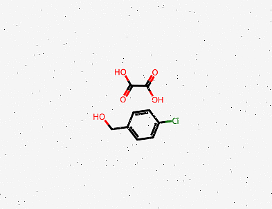 O=C(O)C(=O)O.OCc1ccc(Cl)cc1